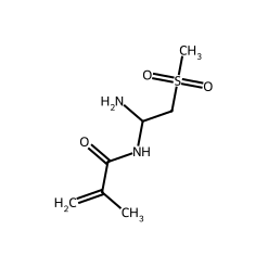 C=C(C)C(=O)NC(N)CS(C)(=O)=O